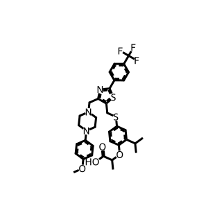 COc1ccc(N2CCN(Cc3nc(-c4ccc(C(F)(F)F)cc4)sc3CSc3ccc(OC(C)C(=O)O)c(C(C)C)c3)CC2)cc1